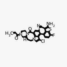 C=CC(=O)N1CCN2C(=O)c3cc(F)c(-c4ccc(F)c5sc(N)c(C#N)c45)c4c(Cl)cn(c34)CC[C@@H]2C1